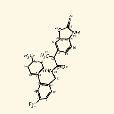 CC1CCN(c2nc(C(F)(F)F)ccc2CNC(=O)C(C)c2ccc3[nH]c(=S)sc3c2)CC1